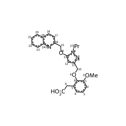 COc1cccc(CC(=O)O)c1OCc1cc(OCc2ccc3ccccc3n2)n(C(C)C)n1